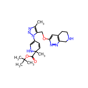 Cc1nnn(C2=CNC(C)(C(=O)OC(C)(C)C)C=C2)c1COc1cc2c(nn1)CNCC2